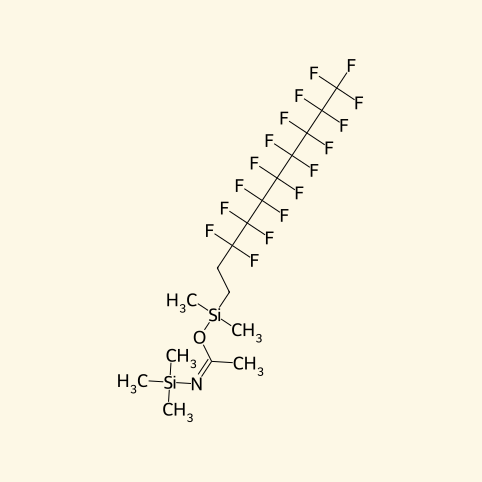 CC(=N[Si](C)(C)C)O[Si](C)(C)CCC(F)(F)C(F)(F)C(F)(F)C(F)(F)C(F)(F)C(F)(F)C(F)(F)C(F)(F)F